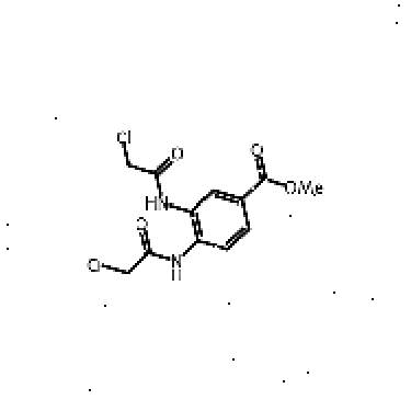 COC(=O)c1ccc(NC(=O)CCl)c(NC(=O)CCl)c1